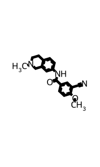 COc1ccc(C(=O)Nc2ccc3c(c2)CN(C)CC3)cc1C#N